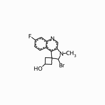 CN1c2cnc3cc(F)ccc3c2C2(CC(O)C2)C1Br